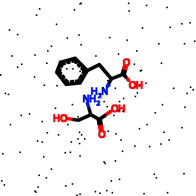 NC(CO)C(=O)O.NC(Cc1ccccc1)C(=O)O